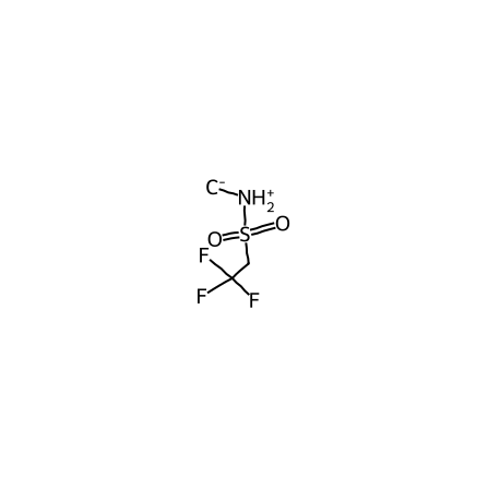 [CH2-][NH2+]S(=O)(=O)CC(F)(F)F